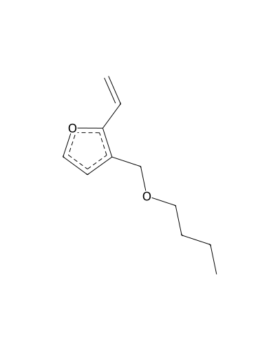 C=Cc1occc1COCCCC